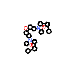 c1ccc(N(c2ccc3c(ccc4oc5ccc6cc(N(c7ccccc7)c7cccc8c7oc7c(C9CCCCC9)cccc78)ccc6c5c43)c2)c2cccc3c2oc2c(C4CCCCC4)cccc23)cc1